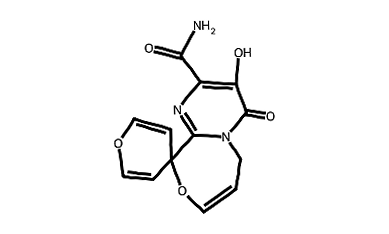 NC(=O)c1nc2n(c(=O)c1O)CC=COC21C=COC=C1